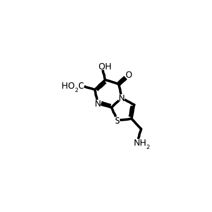 NCc1cn2c(=O)c(O)c(C(=O)O)nc2s1